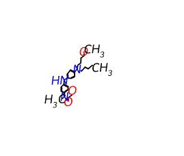 CCCCCN(CCCCOC)c1ccc(Nc2ccc3c(c2)OCC(=O)N3C)cc1